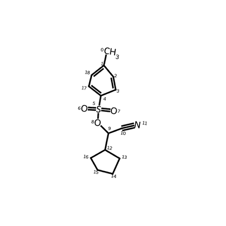 Cc1ccc(S(=O)(=O)OC(C#N)C2CCCC2)cc1